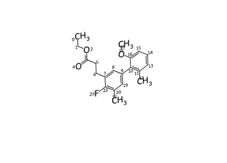 CCOC(=O)CCc1cc(-c2c(C)cccc2OC)cc(C)c1F